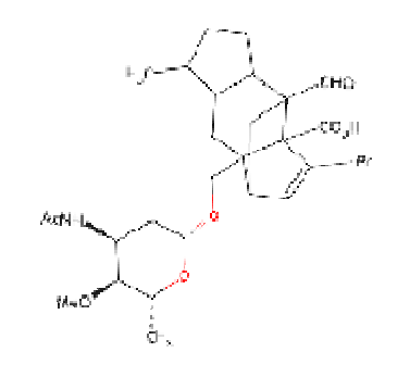 CO[C@H]1[C@@H](NC(C)=O)C[C@H](OCC23CC4C(C)CCC4C4(C=O)CC2C=C(C(C)C)C43C(=O)O)O[C@@H]1C